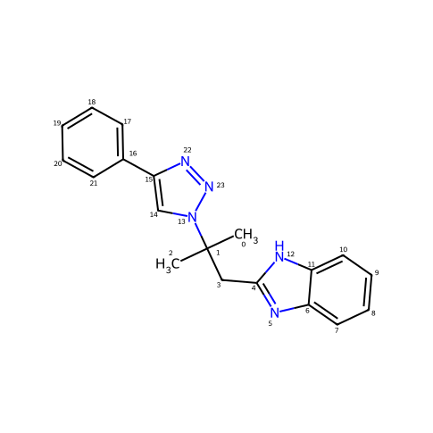 CC(C)(Cc1nc2ccccc2[nH]1)n1cc(-c2ccccc2)nn1